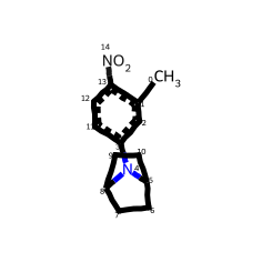 Cc1cc(N2C3CCC2CC3)ccc1[N+](=O)[O-]